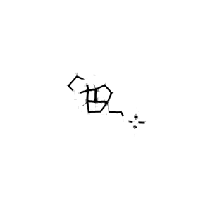 CS(=O)(=O)OCC[C@]12CC[C@@H]3[C@H]1[C@H](CC2)C31OCCO1